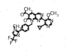 COc1ncnc(C2CC2)c1-c1ncc2cc(C(C)=O)c(=O)n(Cc3ccc(-c4nc(C(F)(F)F)cn4C)cc3)c2n1